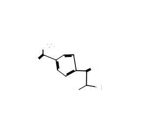 COC(=O)c1ccc(C(=O)C(C)Br)cc1